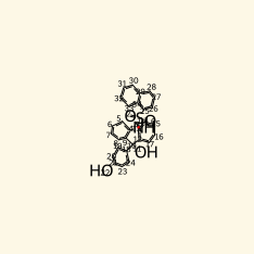 O=S(=O)(Nc1ccccc1C(O)(c1ccccc1)c1ccc(O)cc1)c1cccc2ccccc12